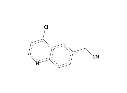 N#CCc1ccc2nccc(Cl)c2c1